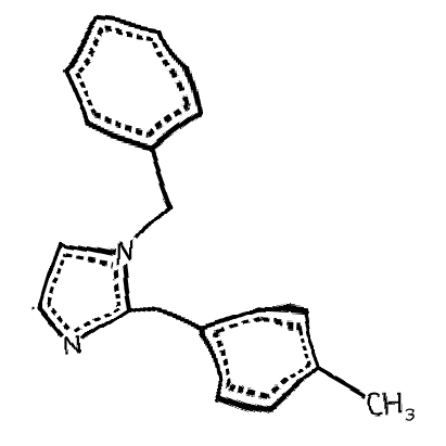 Cc1ccc(-c2n[c]cn2Cc2ccccc2)cc1